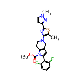 Cc1sc(-c2ccn(C)n2)nc1N1CCc2c(cc(-c3c(F)cccc3F)n2C(=O)OC(C)(C)C)C1